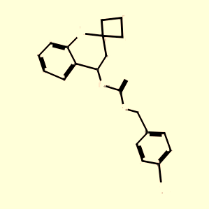 O=C(NCc1ccc(C(F)(F)F)cc1)NC1CC2(CCC2)Oc2ccccc21